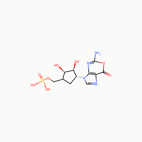 Nc1nc2c(ncn2[C@@H]2CC(COP(=O)(O)O)[C@@H](O)[C@H]2O)c(=O)o1